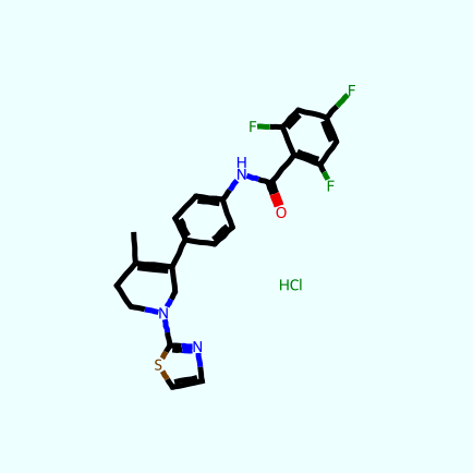 CC1=C(c2ccc(NC(=O)c3c(F)cc(F)cc3F)cc2)CN(c2nccs2)CC1.Cl